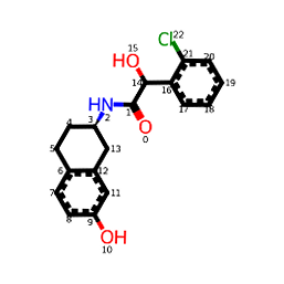 O=C(N[C@@H]1CCc2ccc(O)cc2C1)C(O)c1ccccc1Cl